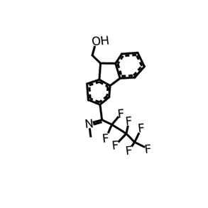 C/N=C(/c1ccc2c(c1)-c1ccccc1C2CO)C(F)(F)C(F)(F)C(F)(F)F